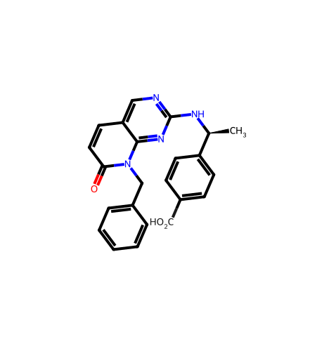 C[C@H](Nc1ncc2ccc(=O)n(Cc3ccccc3)c2n1)c1ccc(C(=O)O)cc1